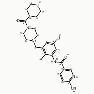 Cc1c(CN2CCN(C(=O)C3CCOCC3)CC2)cc(Cl)cc1NC(=O)c1ccc(C#N)nc1